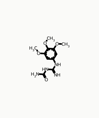 COc1cc(NC(=N)NC(N)=O)cc(OC)c1OC